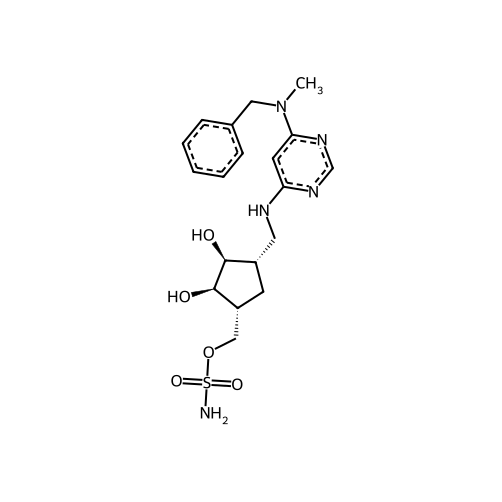 CN(Cc1ccccc1)c1cc(NC[C@@H]2C[C@H](COS(N)(=O)=O)[C@@H](O)[C@H]2O)ncn1